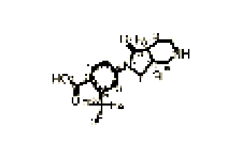 O=C(O)c1ccc(N2C[C@@H]3CNCC[C@]3(F)C2=O)cc1C(F)(F)F